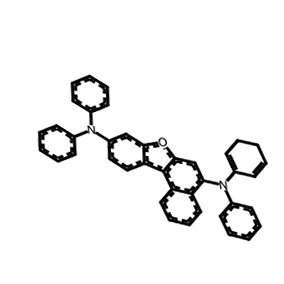 C1=CC(N(c2ccccc2)c2cc3oc4cc(N(c5ccccc5)c5ccccc5)ccc4c3c3ccccc23)=CCC1